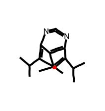 CC(C)c1cc(C(C)C)c2c(C(C)C)c1N=C=N2